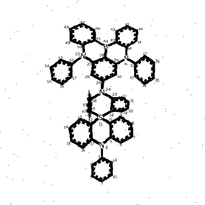 c1ccc(N2c3ccccc3S3(c4ccccc42)c2ccccc2N(c2cc4c5c(c2)N(c2ccccc2)c2ccccc2B5c2ccccc2N4c2ccccc2)c2ccccc23)cc1